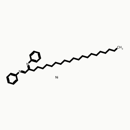 CCCCCCCCCCCCCCCCCCCCC(C=Nc1ccccc1)=Nc1ccccc1.[Ni]